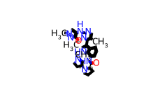 COc1nn(C)cc1Nc1ncc(C)c(-c2c[nH]c3c(NC(=O)[C@H]4CCCN4[C@@H]4CCN(C)C4)cccc23)n1